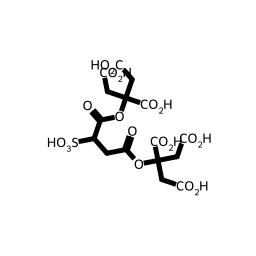 O=C(O)CC(CC(=O)O)(OC(=O)CC(C(=O)OC(CC(=O)O)(CC(=O)O)C(=O)O)S(=O)(=O)O)C(=O)O